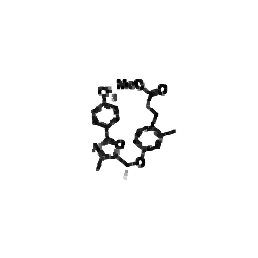 COC(=O)CCc1ccc(O[C@H](C)c2oc(-c3ccc(C(F)(F)F)cc3)nc2C)cc1C